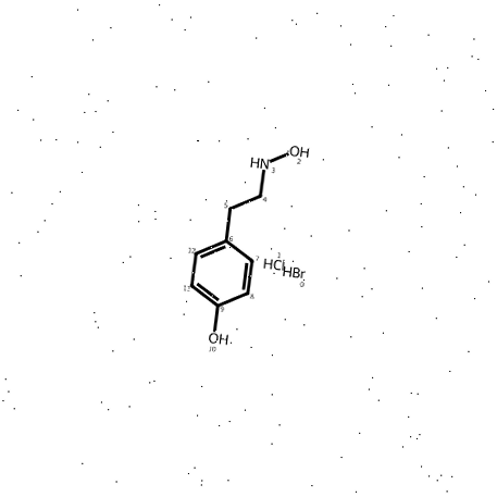 Br.Cl.ONCCc1ccc(O)cc1